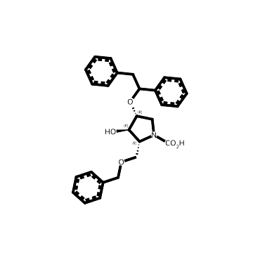 O=C(O)N1C[C@@H](OC(Cc2ccccc2)c2ccccc2)[C@H](O)[C@H]1COCc1ccccc1